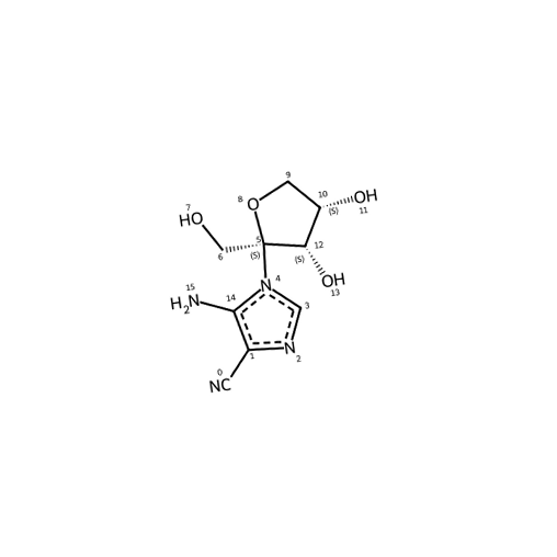 N#Cc1ncn([C@@]2(CO)OC[C@H](O)[C@@H]2O)c1N